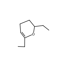 CCC1=CCCC(CC)O1